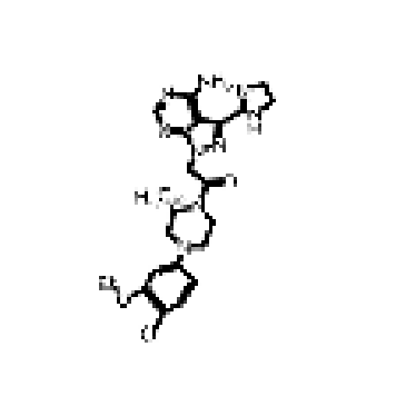 CCOc1cc(N2CCN(C(=O)Cn3nc(C4=NCCN4)c4c(N)ncnc43)[C@@H](C)C2)ccc1Cl